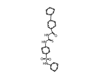 O=C(NC(=S)Nc1ccc(S(=O)(=O)Nc2ccccc2)cc1)c1ccc(-c2ccccc2)cc1